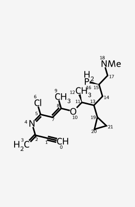 C#CC(=C)/N=C(Cl)\C=C(/C)O[C@@H](C)C(C[C@@H](P)CNC)C1CC1